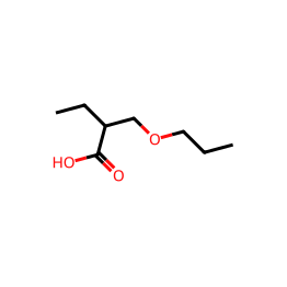 CCCOCC(CC)C(=O)O